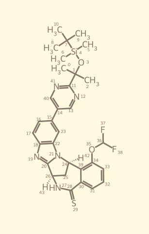 CC(C)(O[Si](C)(C)C(C)(C)C)c1ncc(-c2ccc3nc4n(c3c2)[C@@H]2C[C@H]4NC(=S)c3cccc(OC(F)F)c32)cn1